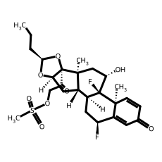 CCC[C@@H]1O[C@@H]2C[C@H]3[C@@H]4C[C@H](F)C5=CC(=O)C=C[C@]5(C)[C@@]4(F)[C@@H](O)C[C@]3(C)[C@]2(C(=O)COS(C)(=O)=O)O1